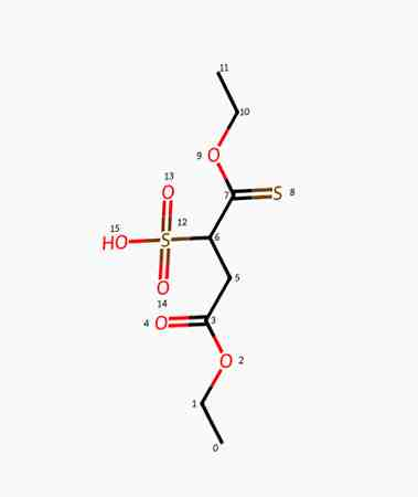 CCOC(=O)CC(C(=S)OCC)S(=O)(=O)O